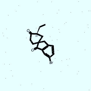 CC[C@H]1CC2(CCC1=O)Cc1ccc(Br)cc1C2=O